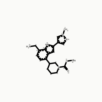 Cn1cc(-c2cc3c(C4CCCN(C(=O)OC(C)(C)C)C4)ccc(CN)c3[nH]2)cn1